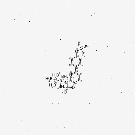 BC(B)(B)C(B)(B)n1c(=O)oc2ccc(-c3ccc(OC(F)(F)F)cc3)nc21